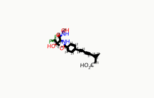 CC(O)(C(F)F)C(NC(=O)c1ccc(C#CC#CC2CC2CC(=O)O)cc1)C(=O)NO